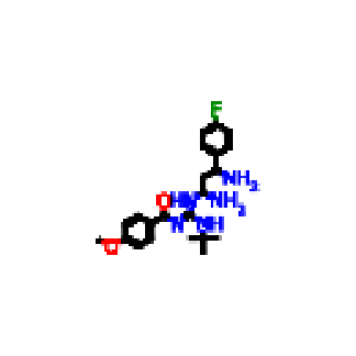 COc1ccc(C(=O)/N=C(\NC(N)CC(N)c2ccc(F)cc2)NC(C)(C)C)cc1